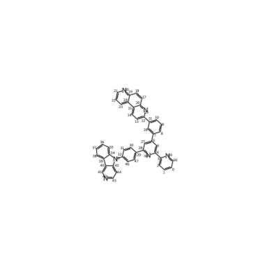 c1ccc(-c2cc(-c3cccc(-c4ccc5c(ccc6ncccc65)n4)c3)cc(-c3ccc(-n4c5ccccc5c5cnccc54)cc3)n2)nc1